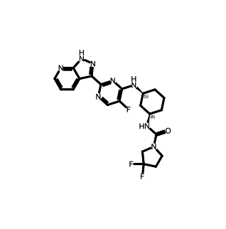 O=C(N[C@@H]1CCC[C@H](Nc2nc(-c3n[nH]c4ncccc34)ncc2F)C1)N1CCC(F)(F)C1